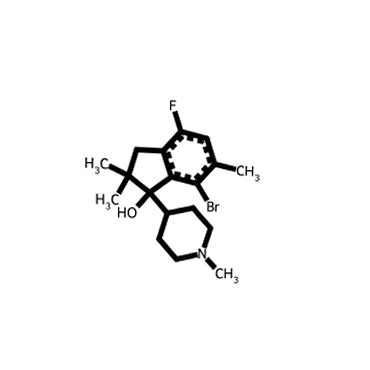 Cc1cc(F)c2c(c1Br)C(O)(C1CCN(C)CC1)C(C)(C)C2